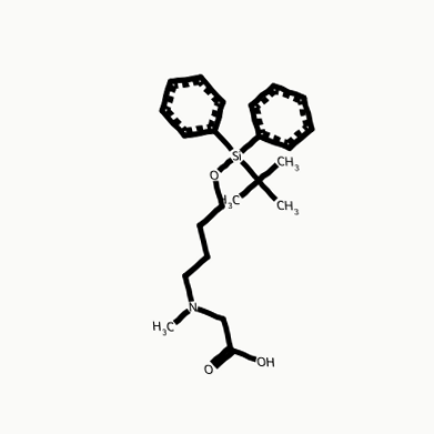 CN(CCCCO[Si](c1ccccc1)(c1ccccc1)C(C)(C)C)CC(=O)O